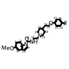 COc1ccc2c(ccn2C(=O)NCCN2CCC(CCOc3ccc(F)cc3)CC2)c1